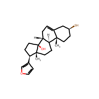 C[C@]12CC[C@H](S)CC1=CC[C@@H]1[C@@H]2CC[C@]2(C)[C@@H](c3ccoc3)CC[C@]12O